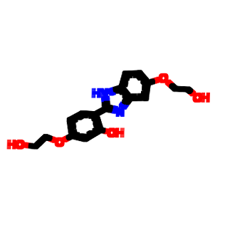 OCCOc1ccc(-c2nc3cc(OCCO)ccc3[nH]2)c(O)c1